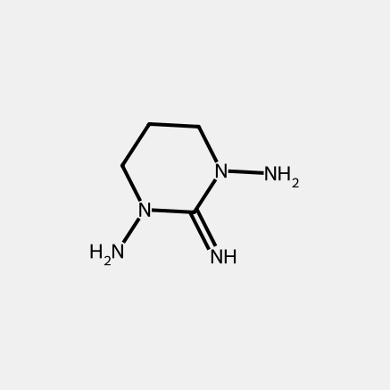 N=C1N(N)CCCN1N